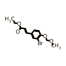 CCOC(=O)C=Cc1ccc(OCOC)c(Br)c1